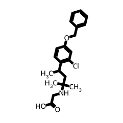 CC(CC(C)(C)NCC(=O)O)c1ccc(OCc2ccccc2)cc1Cl